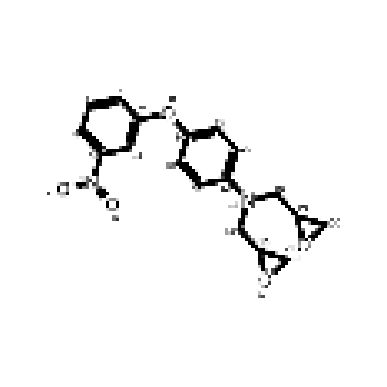 O=[N+]([O-])c1cccc(Oc2ccc(N(CC3CO3)CC3CO3)cc2)c1